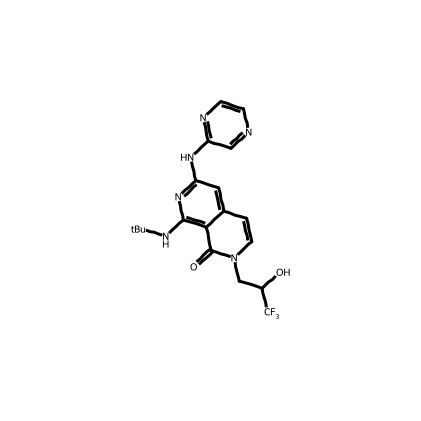 CC(C)(C)Nc1nc(Nc2cnccn2)cc2ccn(CC(O)C(F)(F)F)c(=O)c12